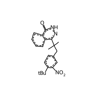 CC(C)(C)c1ccc(CC(C)(C)c2n[nH]c(=O)c3ccccc23)cc1[N+](=O)[O-]